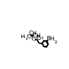 BC1=CCCC(CC(=O)OC(C)(C)C)C1